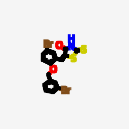 O=C1NC(=S)S/C1=C/c1cc(Br)ccc1OCc1cccc(Br)c1